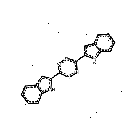 c1ccc2[nH]c(-c3nnc(-c4cc5ccccc5[nH]4)nn3)cc2c1